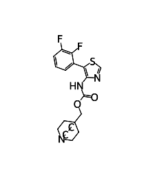 O=C(Nc1ncsc1-c1cccc(F)c1F)OCC12CCN(CC1)CC2